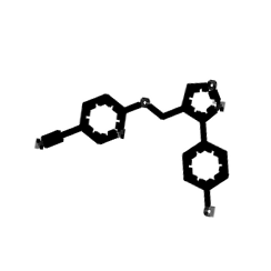 N#Cc1ccc(OCc2conc2-c2ccc(Cl)cc2)nc1